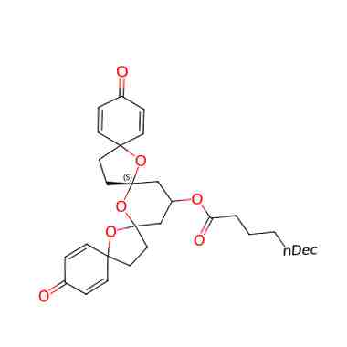 CCCCCCCCCCCCCC(=O)OC1CC2(CCC3(C=CC(=O)C=C3)O2)O[C@@]2(CCC3(C=CC(=O)C=C3)O2)C1